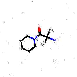 CC(C)([NH])C(=O)N1CCCCC1